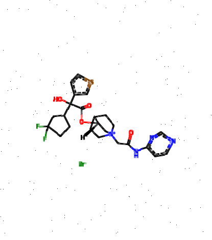 O=C(C[N+]12CCC(CC1)[C@@H](OC(=O)C(O)(c1ccsc1)C1CCC(F)(F)C1)C2)Nc1ccncn1.[Br-]